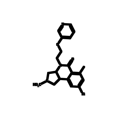 CCc1cc(C)c2c(c1)C1CN(C(=O)O)CC1N(CCOc1cccnc1)C2=O